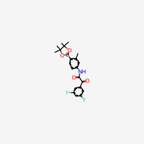 Cc1cc(NC(=O)C(=O)c2cc(F)cc(F)c2)ccc1B1OC(C)(C)C(C)(C)O1